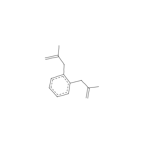 C=C(C)Cc1ccccc1CC(=C)C